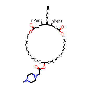 C=C=C=C=C1C(CCCCC)CC(=O)OCCCCCCCCC(OC(=O)CN2CCN(C)CC2)CCCCCCCCOC(=O)CC1CCCCC